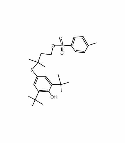 Cc1ccc(S(=O)(=O)OCCC(C)(C)Sc2cc(C(C)(C)C)c(O)c(C(C)(C)C)c2)cc1